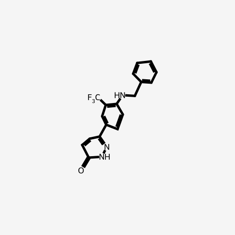 O=c1ccc(-c2ccc(NCc3ccccc3)c(C(F)(F)F)c2)n[nH]1